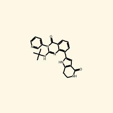 CC(C)(C)Nc1nc2c(-c3cc4c([nH]3)CCNC4=O)cccc2c(=O)n1-c1cccnc1